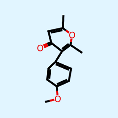 COc1ccc(-c2c(C)oc(C)cc2=O)cc1